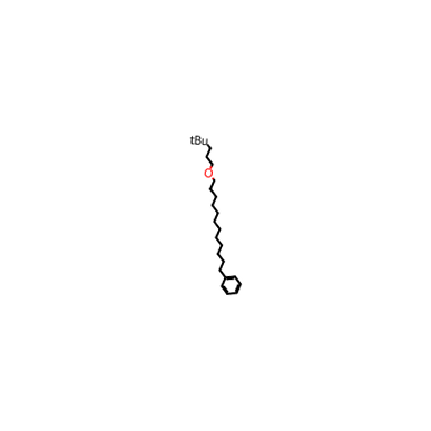 CC(C)(C)CCCOCCCCCCCCCCCCc1ccccc1